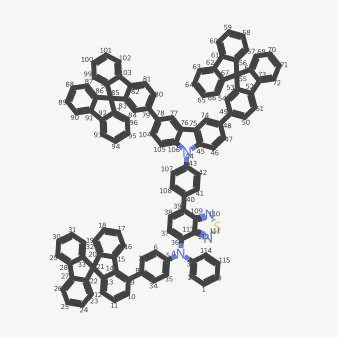 c1ccc(N(c2ccc(-c3cccc4c3-c3ccccc3C43c4ccccc4-c4ccccc43)cc2)c2ccc(-c3ccc(-n4c5ccc(-c6ccc7c(c6)C6(c8ccccc8-c8ccccc86)c6ccccc6-7)cc5c5cc(-c6ccc7c(c6)C6(c8ccccc8-c8ccccc86)c6ccccc6-7)ccc54)cc3)c3nsnc23)cc1